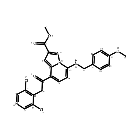 COC(=O)c1cc2c(C(=O)Cc3c(Cl)cncc3Cl)ccc(NCc3ccc(OC)cc3)n2n1